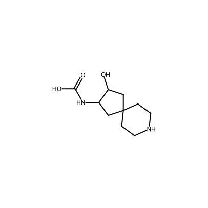 O=C(O)NC1CC2(CCNCC2)CC1O